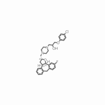 OC(COc1ccc(Cl)cc1)CN1CCN(C[C@H]2C[C@@H]3c4ccccc4Cc4ccc(F)cc4[C@@H]3O2)CC1